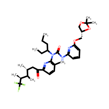 CCCC(CC)N(C(=O)Nc1cccc(OC[C@@H]2COC(C)(C)O2)n1)c1nc(C(=O)C[C@@H](C)C(C)[C@H](C)C(F)(F)F)ccc1C